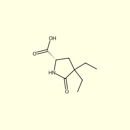 CCC1(CC)C[C@@H](C(=O)O)NC1=O